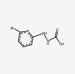 O=C(O)NNc1cccc(Br)n1